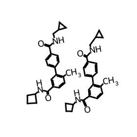 Cc1ccc(C(=O)NC2CCC2)cc1-c1ccc(C(=O)NCC2CC2)cc1.Cc1ccc(C(=O)NC2CCC2)cc1-c1ccc(C(=O)NCC2CC2)cc1